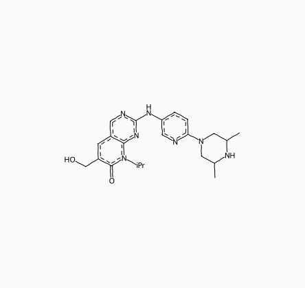 CC1CN(c2ccc(Nc3ncc4cc(CO)c(=O)n(C(C)C)c4n3)cn2)CC(C)N1